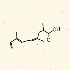 C=CC(C)=CCC=C(C)CC(C)C(=O)O